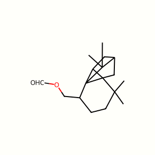 CC1(C)CCC(COC=O)C23C4CC(CC412)C3(C)C